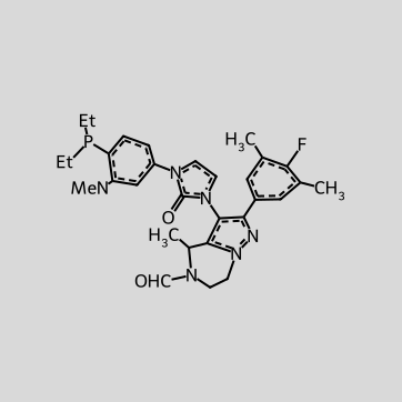 CCP(CC)c1ccc(-n2ccn(-c3c(-c4cc(C)c(F)c(C)c4)nn4c3C(C)N(C=O)CC4)c2=O)cc1NC